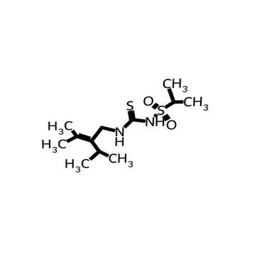 CC(C)=C(CNC(=S)NS(=O)(=O)C(C)C)C(C)C